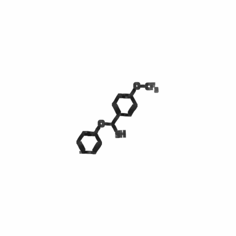 FC(F)(F)Oc1ccc(C(S)Oc2cc[c]cc2)cc1